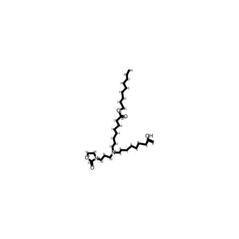 C=C(O)CCCCCCCN(CCCCCCCC(=O)OCCCCCCCCC)CCCN1CCOC1=O